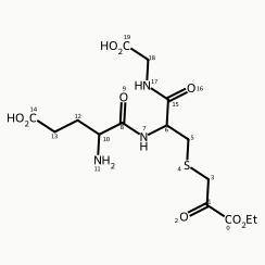 CCOC(=O)C(=O)CSCC(NC(=O)C(N)CCC(=O)O)C(=O)NCC(=O)O